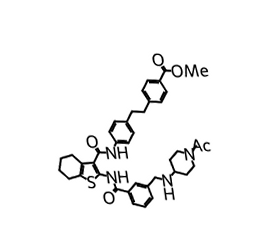 COC(=O)c1ccc(CCc2ccc(NC(=O)c3c(NC(=O)c4cccc(CNC5CCN(C(C)=O)CC5)c4)sc4c3CCCC4)cc2)cc1